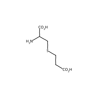 NC(CSCCC(=O)O)C(=O)O